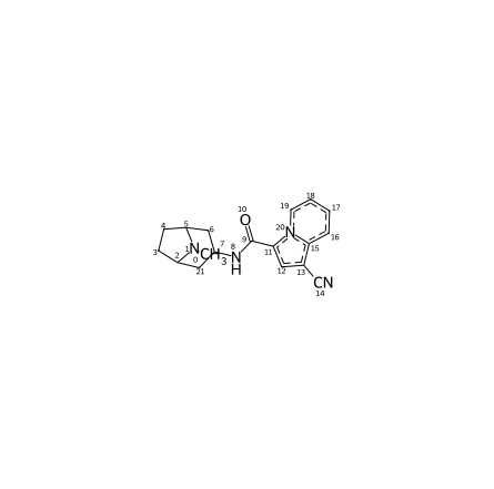 CN1C2CCC1CC(NC(=O)c1cc(C#N)c3ccccn13)C2